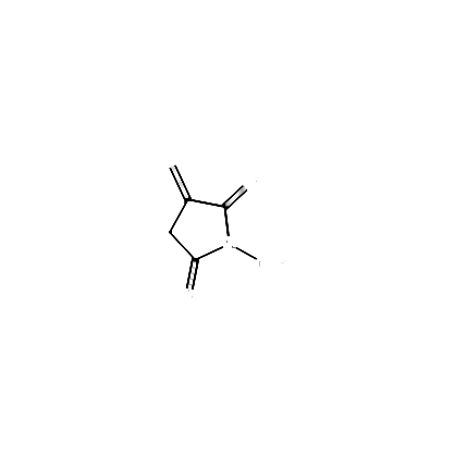 C=C1CC(=O)N(CCCCC)C1=O